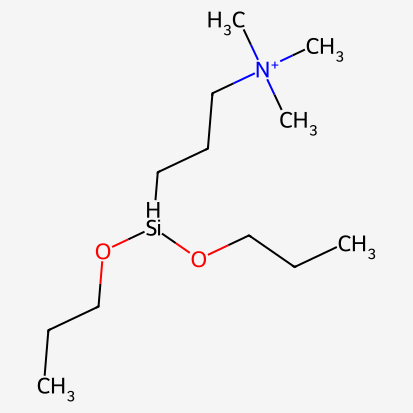 CCCO[SiH](CCC[N+](C)(C)C)OCCC